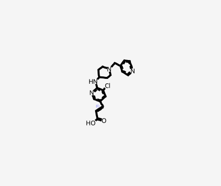 O=C(O)/C=C/c1cnc(NC2CCN(Cc3ccncc3)CC2)c(Cl)c1